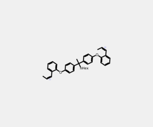 C/C=C\c1ccccc1Oc1ccc(C(C)(CCCCCC)c2ccc(Oc3ccccc3/C=C\C)cc2)cc1